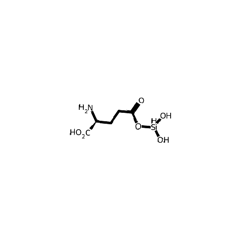 N[C@@H](CCC(=O)O[SiH](O)O)C(=O)O